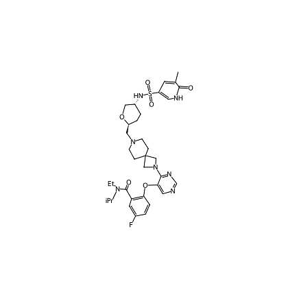 CCN(C(=O)c1cc(F)ccc1Oc1cncnc1N1CC2(CCN(C[C@@H]3CC[C@@H](NS(=O)(=O)c4c[nH]c(=O)c(C)c4)CO3)CC2)C1)C(C)C